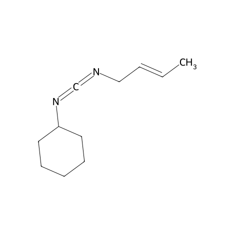 C/C=C/CN=C=NC1CCCCC1